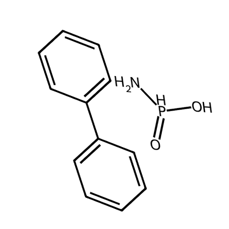 N[PH](=O)O.c1ccc(-c2ccccc2)cc1